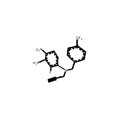 C#CCN(Cc1ccc(C(F)(F)F)cc1)c1ccc([N+](=O)[O-])c(N)c1F